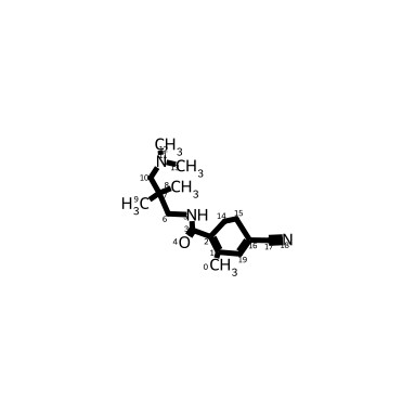 CC1=C(C(=O)NCC(C)(C)CN(C)C)CCC(C#N)=C1